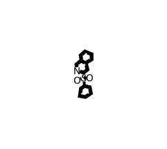 O=S(=O)(c1ccccc1)c1cc2ccccc2cn1